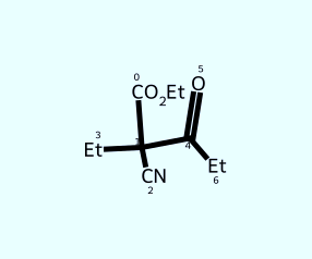 CCOC(=O)C(C#N)(CC)C(=O)CC